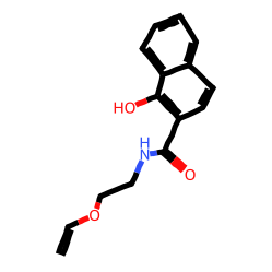 C=COCCNC(=O)c1ccc2ccccc2c1O